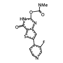 CNC(=O)Oc1nc2cc(-c3ccncc3F)sc2c(=O)[nH]1